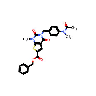 CC(=O)N(C)c1ccc(Cn2c(=O)c3cc(C(=O)OCc4ccccc4)sc3n(C)c2=O)cc1